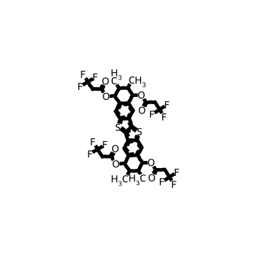 CC1C(OC(=O)CC(F)(F)F)c2cc3sc4c5cc6c(cc5sc4c3cc2C(OC(=O)CC(F)(F)F)C1C)C(OC(=O)CC(F)(F)F)C(C)C(C)C6OC(=O)CC(F)(F)F